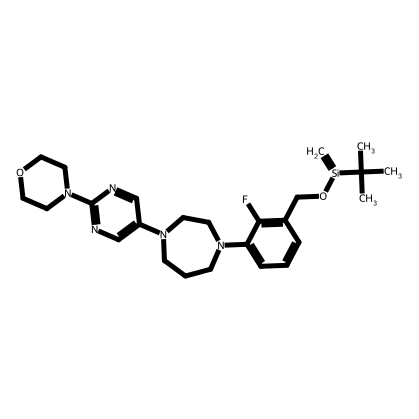 C=[Si](OCc1cccc(N2CCCN(c3cnc(N4CCOCC4)nc3)CC2)c1F)C(C)(C)C